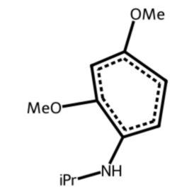 COc1ccc(NC(C)C)c(OC)c1